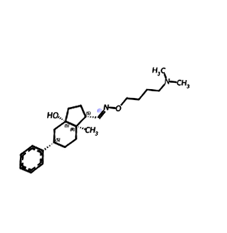 CN(C)CCCCO/N=C/[C@H]1CC[C@]2(O)C[C@@H](c3ccccc3)CC[C@]12C